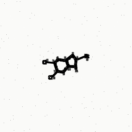 CCc1cc2cc(Cl)c(Cl)cc2s1